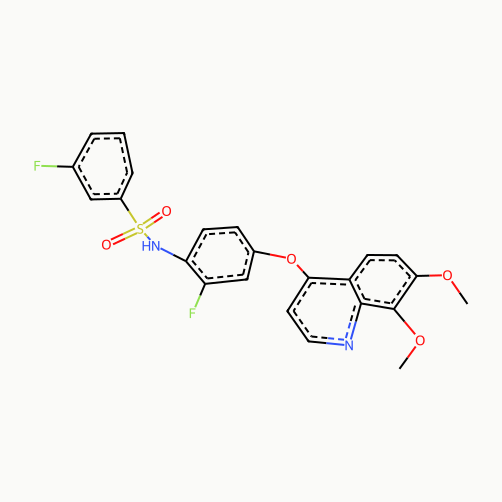 COc1ccc2c(Oc3ccc(NS(=O)(=O)c4cccc(F)c4)c(F)c3)ccnc2c1OC